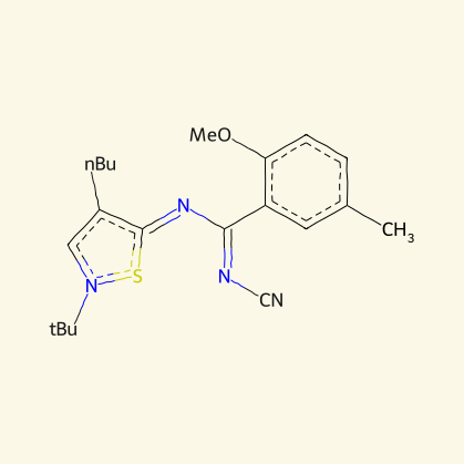 CCCCc1cn(C(C)(C)C)s/c1=N\C(=N\C#N)c1cc(C)ccc1OC